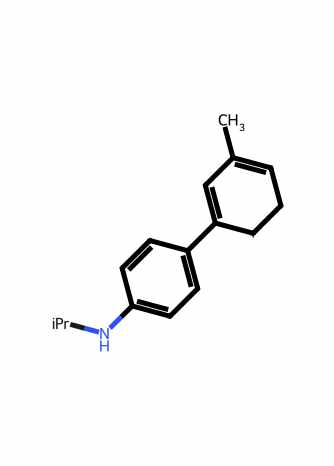 CC1=CC[CH]C(c2ccc(NC(C)C)cc2)=C1